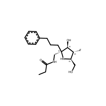 CCC(=O)NC[C@@]1(CCCc2ccccc2)N[C@H](CO)[C@@H](F)[C@@H]1O